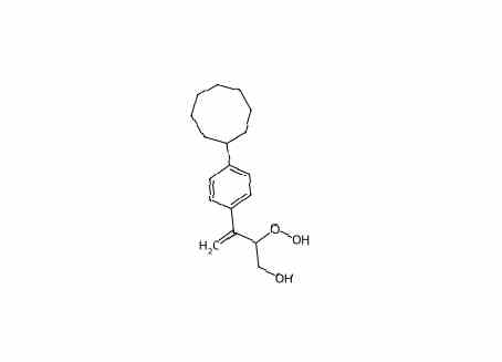 C=C(c1ccc(C2CCCCCCC2)cc1)C(CO)OO